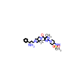 Cc1nc(N2CCC(NS(C)(=O)=O)CC2)nc(C)c1C(=O)N1CC2CN(CC[C@H](N)c3ccccc3)CC2C1